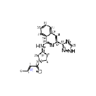 C/C=C/C(=O)N1CC[C@H](Nc2nc(-c3nc[nH]n3)cc3ccccc23)C1